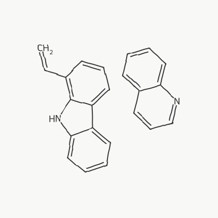 C=Cc1cccc2c1[nH]c1ccccc12.c1ccc2ncccc2c1